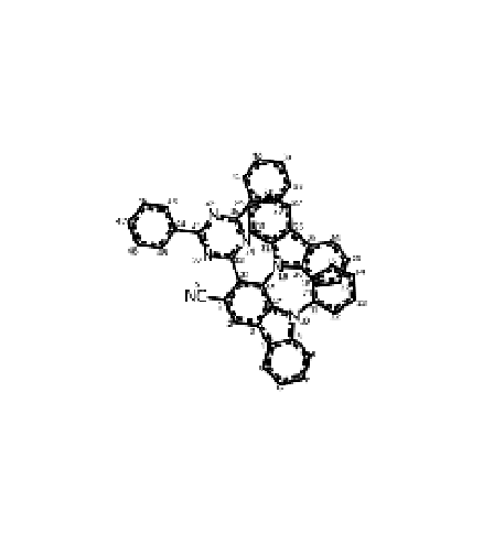 N#Cc1cc2c3ccccc3n(-c3ccccc3)c2c(-n2c3ccccc3c3ccccc32)c1-c1nc(-c2ccccc2)nc(-c2ccccc2)n1